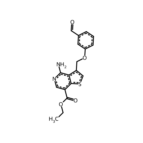 CCOC(=O)c1cnc(N)c2c(COc3cccc(C=O)c3)csc12